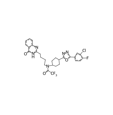 O=C(N(CCCCc1nc2ccccc2c(=O)[nH]1)C1CCC(c2nnc(-c3ccc(F)c(Cl)c3)o2)CC1)C(F)(F)F